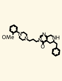 COc1ccccc1N1CCN(CCCn2cnc3c(c2=O)CC(Cc2ccccc2)NC3)CC1